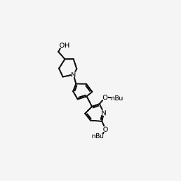 CCCCOc1ccc(-c2ccc(N3CCC(CO)CC3)cc2)c(OCCCC)n1